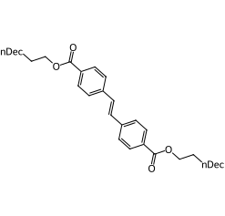 CCCCCCCCCCCCOC(=O)c1ccc(C=Cc2ccc(C(=O)OCCCCCCCCCCCC)cc2)cc1